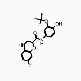 O=C(Nc1ccc(O)c(OC(F)(F)F)c1)C1CNc2ccc(F)cc2O1